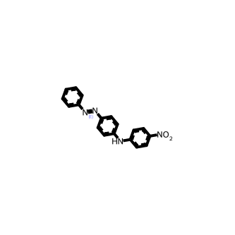 O=[N+]([O-])c1ccc(Nc2ccc(/N=N/c3ccccc3)cc2)cc1